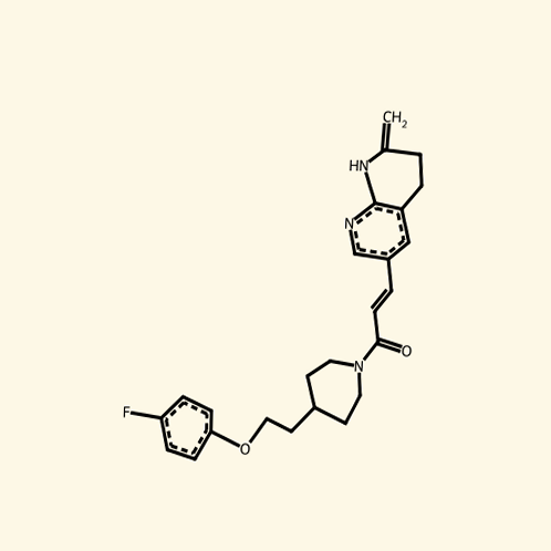 C=C1CCc2cc(/C=C/C(=O)N3CCC(CCOc4ccc(F)cc4)CC3)cnc2N1